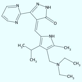 CCN(CC)Cc1c(C)[nH]c(C=C2C(=O)NN=C2c2ncccn2)c1C(C)C